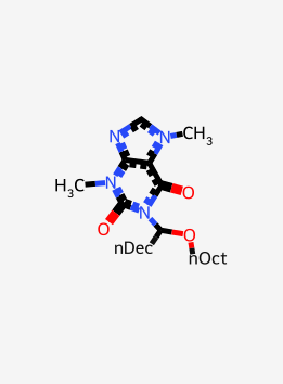 CCCCCCCCCCC(OCCCCCCCC)n1c(=O)c2c(ncn2C)n(C)c1=O